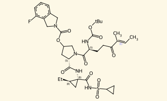 C/C=C(\C)C(=O)CC[C@H](NC(=O)OC(C)(C)C)C(=O)N1CC(OC(=O)N2Cc3cccc(F)c3C2)C[C@H]1C(=O)N[C@]1(C(=O)NS(=O)(=O)C2CC2)C[C@H]1CC